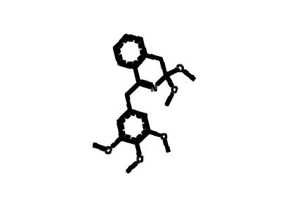 COc1cc(CC2=NC(OC)(OC)Cc3ccccc32)cc(OC)c1OC